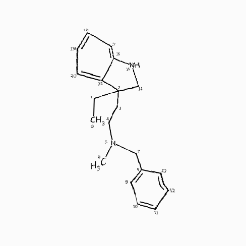 CCC1(CCN(C)Cc2ccccc2)CNc2ccccc21